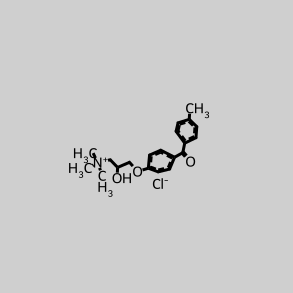 Cc1ccc(C(=O)c2ccc(OCC(O)C[N+](C)(C)C)cc2)cc1.[Cl-]